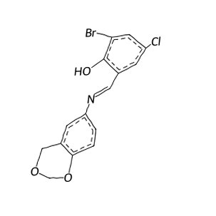 Oc1c(Br)cc(Cl)cc1/C=N/c1ccc2c(c1)COCO2